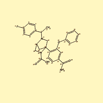 CC(c1ccc(F)cc1)N1CC2(c3ccc(C(N)=O)cc3Oc3ccccc3)CC1CN2C(=O)O